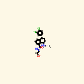 CN[C@H]1CC[C@@H](c2ccc(Cl)c(Cl)c2)c2cccc(C(=O)NCCO)c21